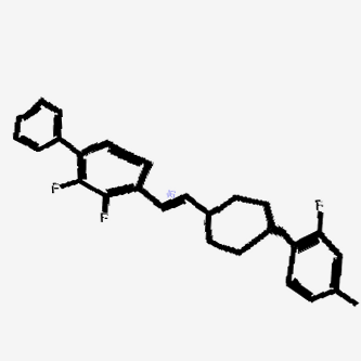 Cc1ccc(C2CCC(/C=C/c3ccc(-c4ccccc4)c(F)c3F)CC2)c(F)c1